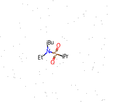 CCC(C)N(CC)S(=O)(=O)C(C)C